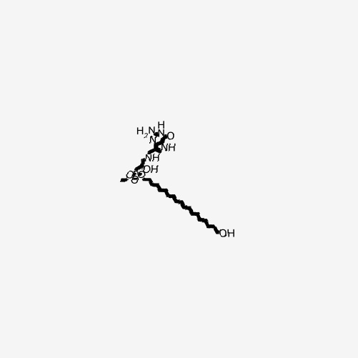 CCOP(=O)(C[C@@H](O)CNCc1c[nH]c2c(=O)[nH]c(N)nc12)OCCCCCCCCCCCCCCCCCCCO